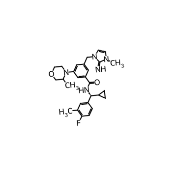 Cc1cc([C@@H](NC(=O)c2cc(Cn3ccn(C)c3=N)cc(N3CCOCC3C)c2)C2CC2)ccc1F